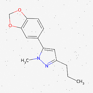 CCCc1cc(-c2ccc3c(c2)OCO3)n(C)n1